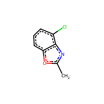 [CH2]c1nc2c(Cl)cccc2o1